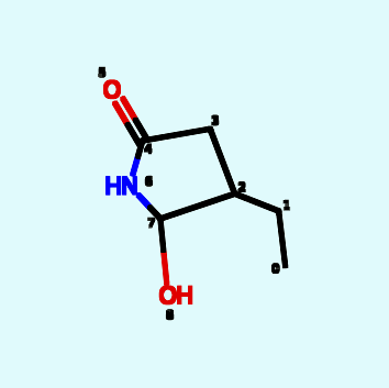 CCC1CC(=O)NC1O